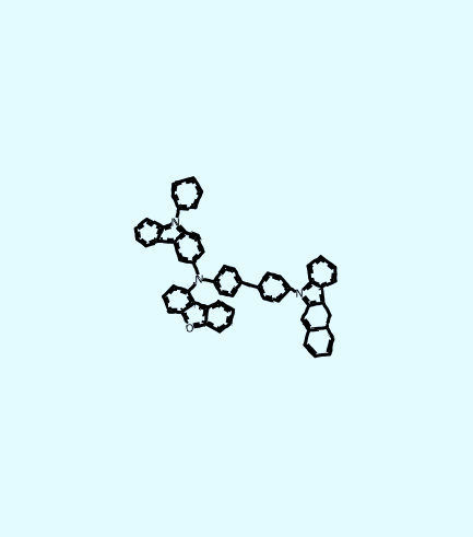 C1=CC2=Cc3c(c4ccccc4n3-c3ccc(-c4ccc(N(c5ccc6c(c5)c5ccccc5n6-c5ccccc5)c5cccc6oc7ccccc7c56)cc4)cc3)CC2C=C1